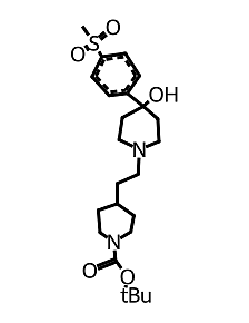 CC(C)(C)OC(=O)N1CCC(CCN2CCC(O)(c3ccc(S(C)(=O)=O)cc3)CC2)CC1